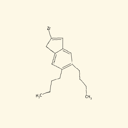 CCCCc1cc2c(cc1CCCC)C[C]([Zr])=C2